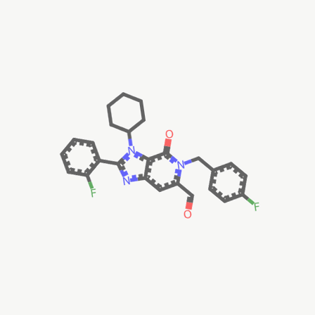 O=Cc1cc2nc(-c3ccccc3F)n(C3CCCCC3)c2c(=O)n1Cc1ccc(F)cc1